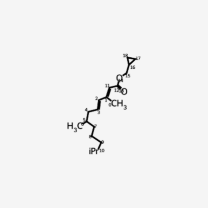 CC(/C=C/CC(C)CCCC(C)C)=C\C(=O)OCC1CC1